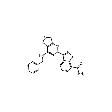 NC(=O)c1cccc2c(-c3nc4c(c(NCc5ccccc5)n3)COC4)nsc12